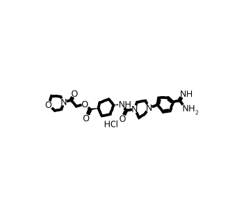 Cl.N=C(N)c1ccc(N2CCN(C(=O)N[C@H]3CC[C@H](C(=O)OCC(=O)N4CCOCC4)CC3)CC2)cc1